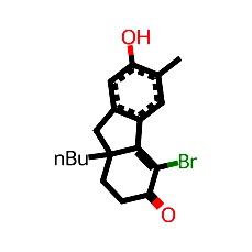 CCCCC12CCC(=O)C(Br)=C1c1cc(C)c(O)cc1C2